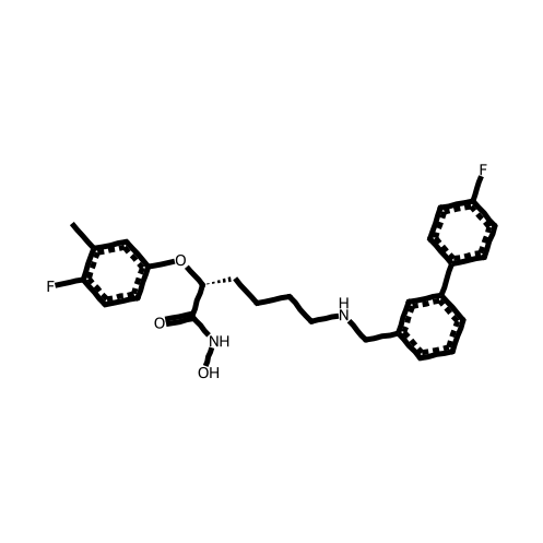 Cc1cc(O[C@H](CCCCNCc2cccc(-c3ccc(F)cc3)c2)C(=O)NO)ccc1F